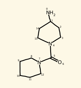 NC1CCN(C(=O)N2CCCCC2)CC1